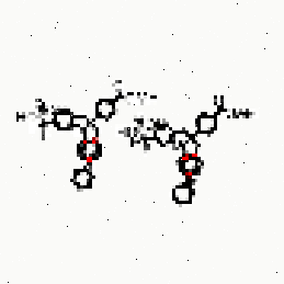 COC(=O)c1ccc(C(Cc2ccc(-c3ccccc3)cc2)(Cc2ccc(C(F)(F)P(=O)(O)O)cc2)C(=O)c2ccc(F)cc2)cc1.COC(=O)c1ccc(C(Cc2ccc(-c3ccccc3)cc2)(Cc2ccc(C(F)(F)P(=O)(O)O)cc2)C(=O)c2ccc(F)cc2)cc1